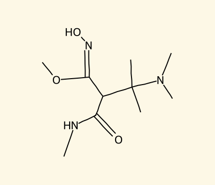 CNC(=O)C(C(=NO)OC)C(C)(C)N(C)C